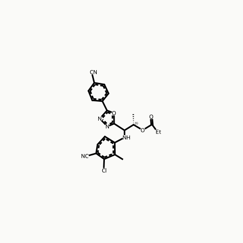 CCC(=O)O[C@@H](C)C(Nc1ccc(C#N)c(Cl)c1C)c1nnc(-c2ccc(C#N)cc2)o1